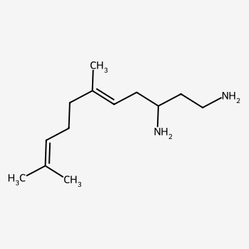 CC(C)=CCCC(C)=CCC(N)CCN